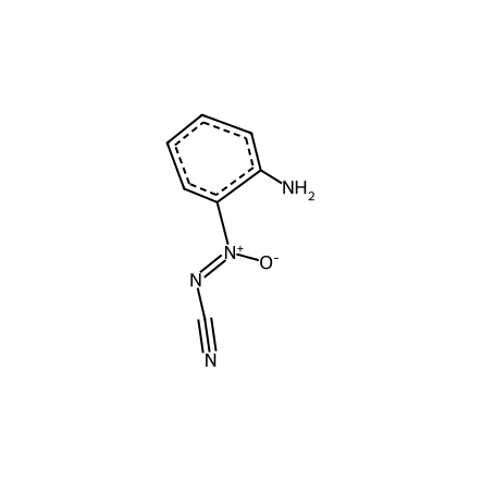 N#CN=[N+]([O-])c1ccccc1N